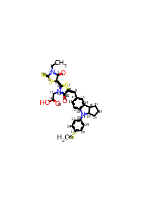 CCN1C(=O)/C(=c2\s/c(=C/c3ccc4c(c3)C3CCCC3N4c3ccc(SC)cc3)c(=O)n2CC(=O)O)SC1=S